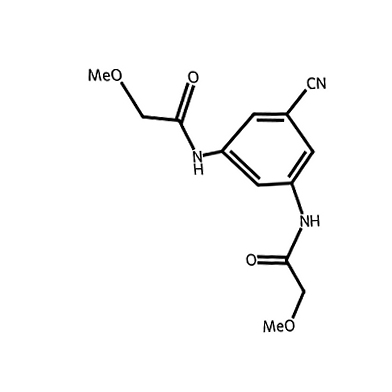 COCC(=O)Nc1cc(C#N)cc(NC(=O)COC)c1